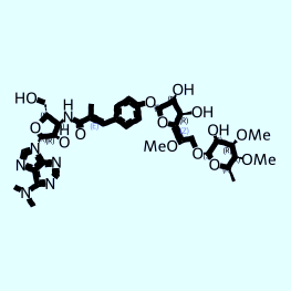 CO/C(CO[C@H]1O[C@H](C)[C@@H](OC)[C@H](OC)[C@@H]1O)=C1\O[C@@H](Oc2ccc(/C=C(\C)C(=O)N[C@H]3[C@@H](O)[C@H](n4cnc5c(N(C)C)ncnc54)O[C@@H]3CO)cc2)[C@H](O)[C@H]1O